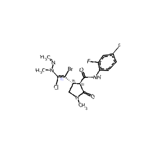 C=NN(C)/C(Cl)=C(\Br)[C@H]1CN(C)C(=O)[C@@H]1C(=O)Nc1ccc(F)cc1F